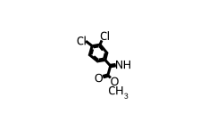 COC(=O)C(=N)c1ccc(Cl)c(Cl)c1